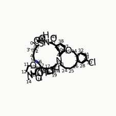 C[C@@H]1[C@@H](C)C/C=C/[C@@](O)([C@H]2OCCN(C)C2=O)[C@@H]2CC[C@H]2CN2CCCCc3cc(Cl)ccc3COc3ccc(cc32)C(=O)NS1(=O)=O